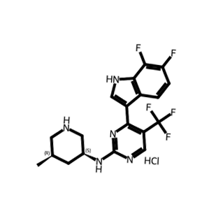 C[C@H]1CNC[C@@H](Nc2ncc(C(F)(F)F)c(-c3c[nH]c4c(F)c(F)ccc34)n2)C1.Cl